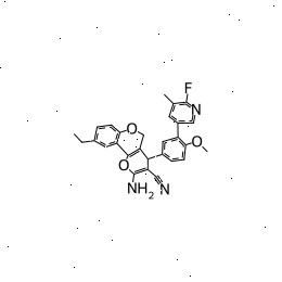 CCc1ccc2c(c1)C1=C(CO2)C(c2ccc(OC)c(-c3cnc(F)c(C)c3)c2)C(C#N)=C(N)O1